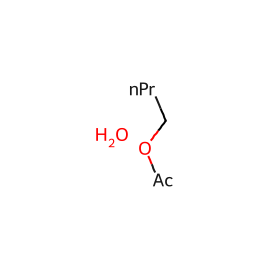 CCCCOC(C)=O.O